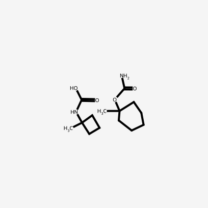 CC1(NC(=O)O)CCC1.CC1(OC(N)=O)CCCCC1